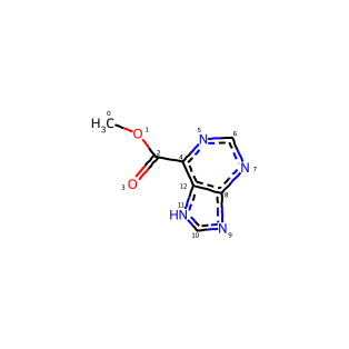 COC(=O)c1ncnc2nc[nH]c12